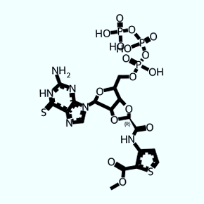 COC(=O)c1sccc1NC(=O)[C@@H]1OC2C(COP(=O)(O)OP(=O)(O)OP(=O)(O)O)OC(n3cnc4c(=S)[nH]c(N)nc43)C2O1